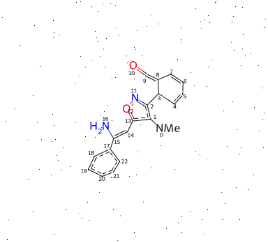 CNc1c(C2C=CC=CC2=C=O)noc1C=C(N)c1ccccc1